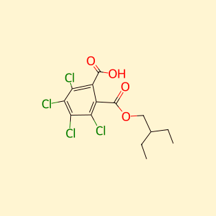 CCC(CC)COC(=O)c1c(Cl)c(Cl)c(Cl)c(Cl)c1C(=O)O